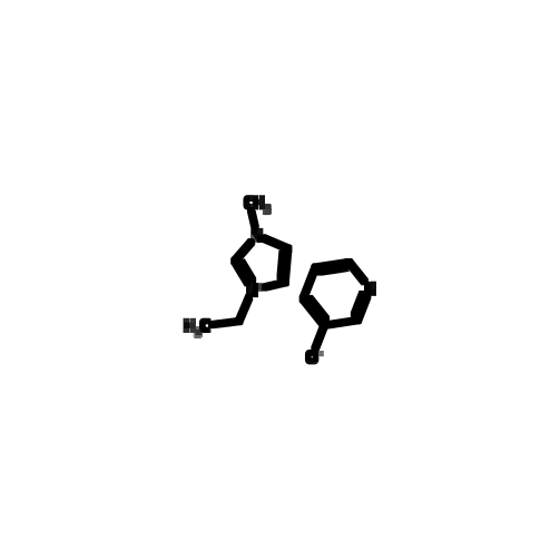 CC[n+]1ccn(C)c1.[O-]c1cccnc1